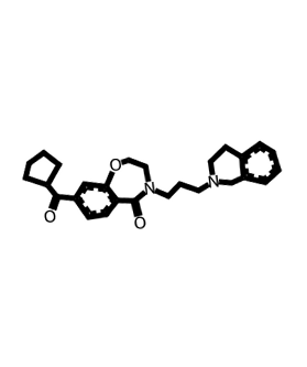 O=C(c1ccc2c(c1)OCCN(CCCN1CCc3ccccc3C1)C2=O)C1CCCC1